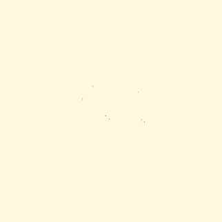 O=C(O)N1OCC[C@H]1c1ccc(Cl)cn1